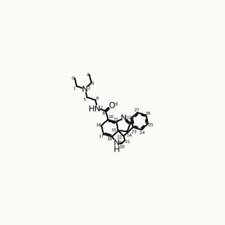 CCN(CC)CCNC(=O)C1=C2N=CCC23C(=CC1)NCCC3c1ccccc1